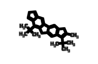 CC1=C(C(C)(C)C)c2cc3c(cc2C1)-c1cc2c(c(C(C)(C)C)c1C3)=CCC=2